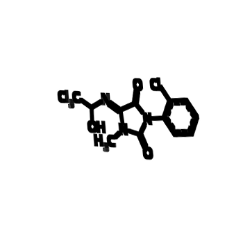 CN1C(=O)N(c2ccccc2Cl)C(=O)/C1=N/C(O)C(Cl)(Cl)Cl